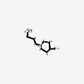 FC1CCN(CCCS)CC1